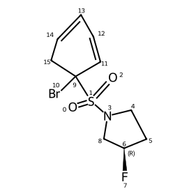 O=S(=O)(N1CC[C@@H](F)C1)C1(Br)C=CC=CC1